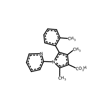 Cc1ccccc1-c1c(C)c(C(=O)O)c(C)n1-c1ccccn1